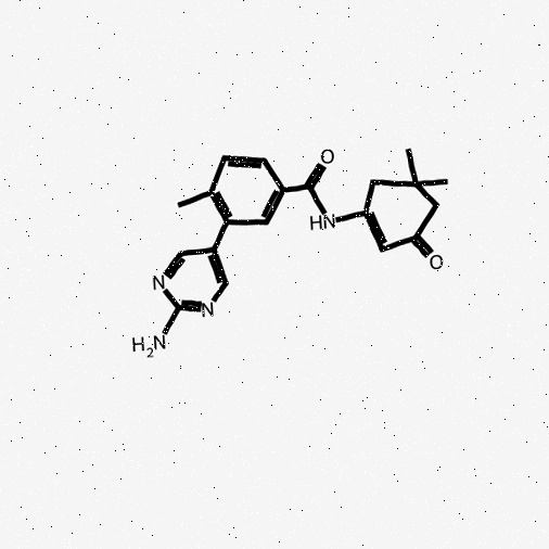 Cc1ccc(C(=O)NC2=CC(=O)CC(C)(C)C2)cc1-c1cnc(N)nc1